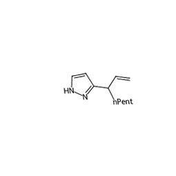 C=CC(CCCCC)c1cc[nH]n1